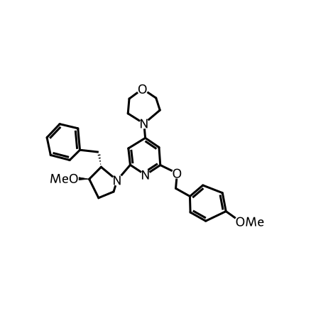 COc1ccc(COc2cc(N3CCOCC3)cc(N3CC[C@@H](OC)[C@@H]3Cc3ccccc3)n2)cc1